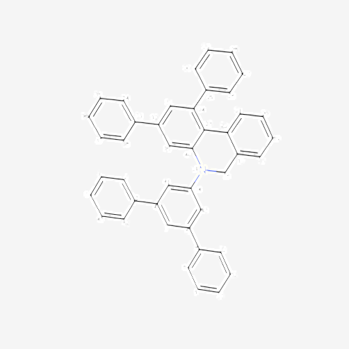 c1ccc(-c2cc(-c3ccccc3)cc(N3Cc4ccccc4-c4c(-c5ccccc5)cc(-c5ccccc5)cc43)c2)cc1